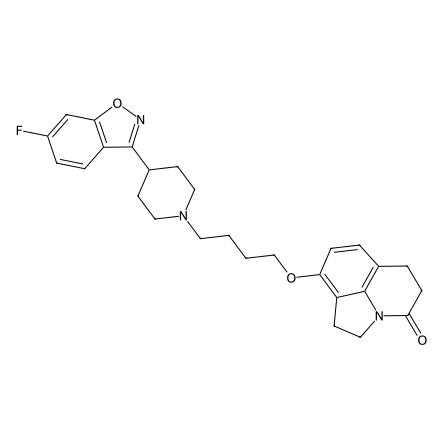 O=C1CCc2ccc(OCCCCN3CCC(c4noc5cc(F)ccc45)CC3)c3c2N1CC3